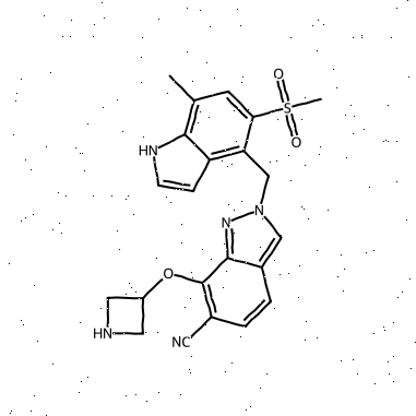 Cc1cc(S(C)(=O)=O)c(Cn2cc3ccc(C#N)c(OC4CNC4)c3n2)c2cc[nH]c12